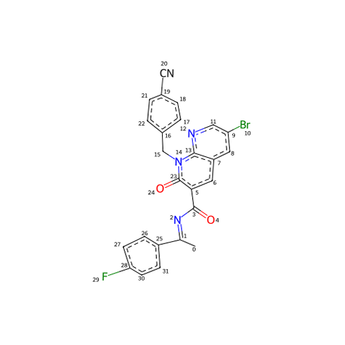 C/C(=N\C(=O)c1cc2cc(Br)cnc2n(Cc2ccc(C#N)cc2)c1=O)c1ccc(F)cc1